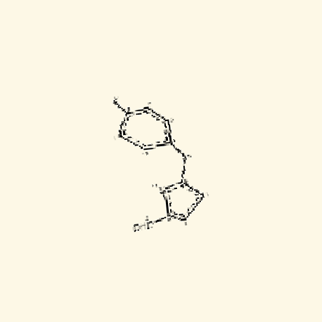 Cc1ccc(Cc2ccc(C=O)s2)cc1